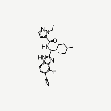 CCn1nccc1C(=O)N[C@H](c1nc2c(F)c(C#N)ccc2[nH]1)[C@H]1CC[C@H](C)CC1